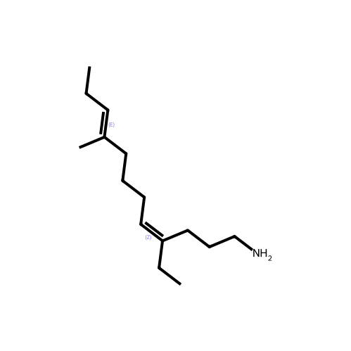 CC/C=C(\C)CCC/C=C(/CC)CCCN